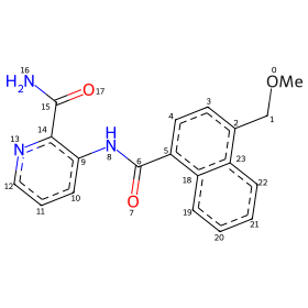 COCc1ccc(C(=O)Nc2cccnc2C(N)=O)c2ccccc12